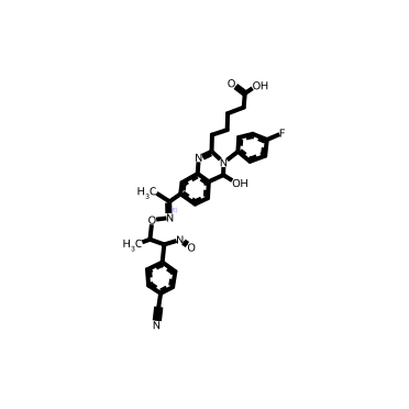 C/C(=N\OC(C)C(N=O)c1ccc(C#N)cc1)c1ccc2c(c1)N=C(CCCCC(=O)O)N(c1ccc(F)cc1)C2O